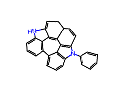 C1=CC2CC=c3[nH]c4cccc5c4c3=C2c2c1n(-c1ccccc1)c1cccc-5c21